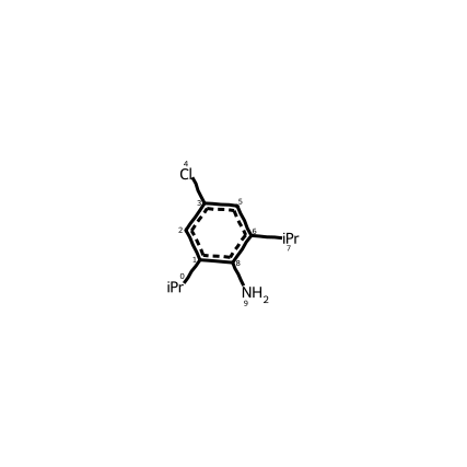 CC(C)c1cc(Cl)cc(C(C)C)c1N